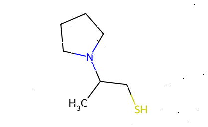 CC(CS)N1CCCC1